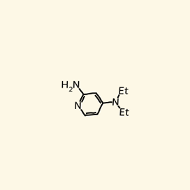 CCN(CC)c1ccnc(N)c1